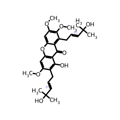 COc1cc2oc3cc(OC)c(OC)c(C/C=C/C(C)(C)O)c3c(=O)c2c(O)c1C/C=C/C(C)(C)O